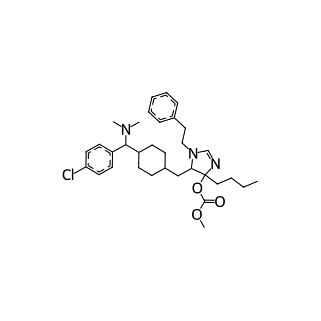 CCCCC1(OC(=O)OC)N=CN(CCc2ccccc2)C1CC1CCC(C(c2ccc(Cl)cc2)N(C)C)CC1